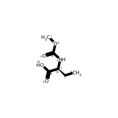 CC[C@H](NC(=O)OC)C(=O)O